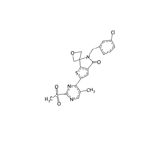 Cc1cnc(S(C)(=O)=O)nc1-c1cc2c(s1)C1(COC1)N(Cc1cccc(Cl)c1)C2=O